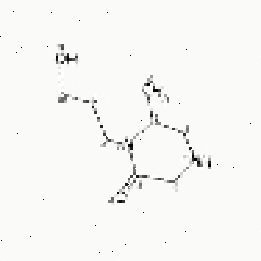 CC1CNCC(=O)N1CCCO